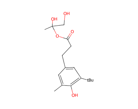 Cc1cc(CCC(=O)OC(C)(O)CO)cc(C(C)(C)C)c1O